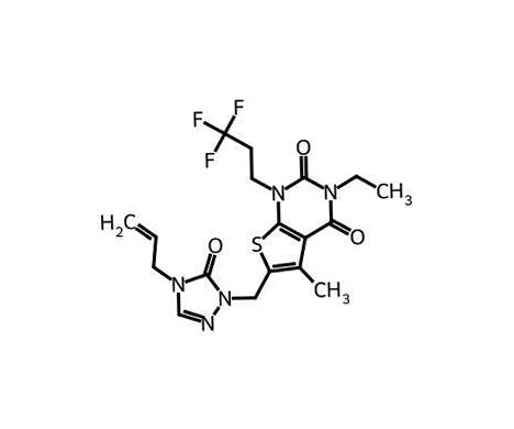 C=CCn1cnn(Cc2sc3c(c2C)c(=O)n(CC)c(=O)n3CCC(F)(F)F)c1=O